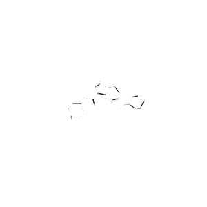 CN(c1cccnc1)c1ccn2ncc(C(=O)NC3CCC(F)(F)CC3)c2n1